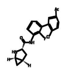 CC(=O)c1ccc(Cl)c(-c2cccc(NC(=O)[C@@H]3C[C@H]4C[C@H]4N3)c2F)c1